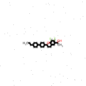 CCCC1CCC(C2CCC(C3CCc4cc(C(C)O)c(F)c(F)c4O3)CC2)CC1